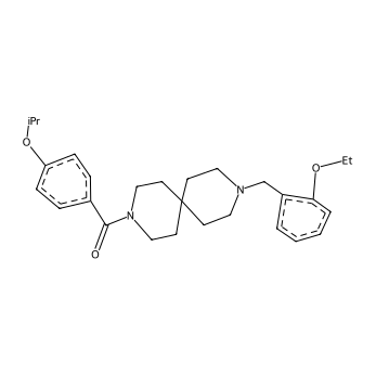 CCOc1ccccc1CN1CCC2(CC1)CCN(C(=O)c1ccc(OC(C)C)cc1)CC2